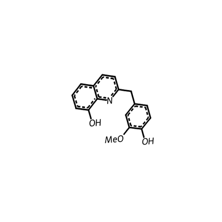 COc1cc(Cc2ccc3cccc(O)c3n2)ccc1O